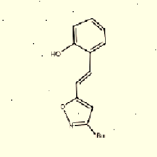 CCC(C)c1cc(C=Cc2ccccc2O)on1